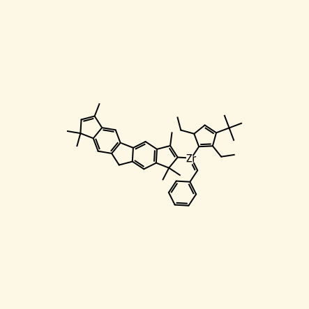 CCC1=[C]([Zr](=[CH]c2ccccc2)[C]2=C(C)c3cc4c(cc3C2(C)C)Cc2cc3c(cc2-4)C(C)=CC3(C)C)C(CC)C=C1C(C)(C)C